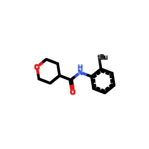 CC(C)(C)c1ccccc1NC(=O)C1CCOCC1